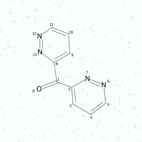 O=C(c1cccnn1)c1cccnn1